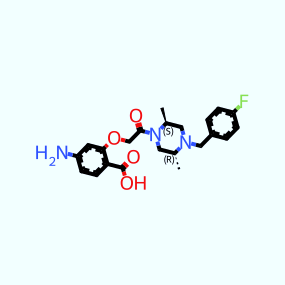 C[C@@H]1CN(C(=O)COc2cc(N)ccc2C(=O)O)[C@@H](C)CN1Cc1ccc(F)cc1